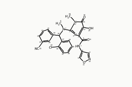 CN(c1nc(C(=O)Nc2cnoc2)c(O)c(=O)n1C)C(c1cccc(C#N)c1)c1ccccc1Cl